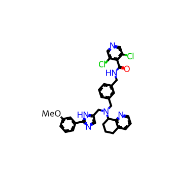 COc1cccc(-c2ncc(CN(Cc3cccc(CNC(=O)c4c(Cl)cncc4Cl)c3)C3CCCc4cccnc43)[nH]2)c1